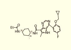 CCC(=O)N[C@@H]1CC[C@H](NC(=O)c2c(C)[nH]c3c(-c4cc(F)ccc4OCC4CC4)ncnc23)[C@H](C)C1